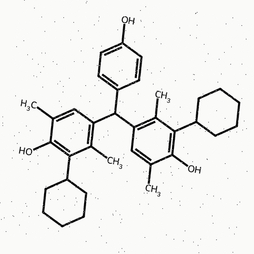 Cc1cc(C(c2ccc(O)cc2)c2cc(C)c(O)c(C3CCCCC3)c2C)c(C)c(C2CCCCC2)c1O